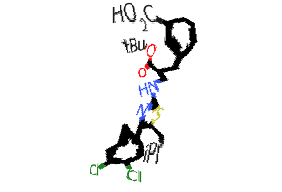 CC(C)Cc1sc(NCC(Cc2cccc(C(=O)O)c2)C(=O)OC(C)(C)C)nc1-c1ccc(Cl)c(Cl)c1